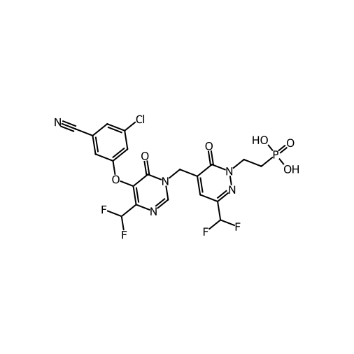 N#Cc1cc(Cl)cc(Oc2c(C(F)F)ncn(Cc3cc(C(F)F)nn(CCP(=O)(O)O)c3=O)c2=O)c1